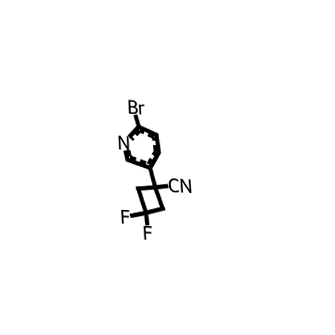 N#CC1(c2ccc(Br)nc2)CC(F)(F)C1